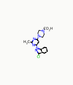 Cc1nc(N2CCN(C(=O)O)CC2)cc(-n2nc(Cl)c3ccccc32)n1